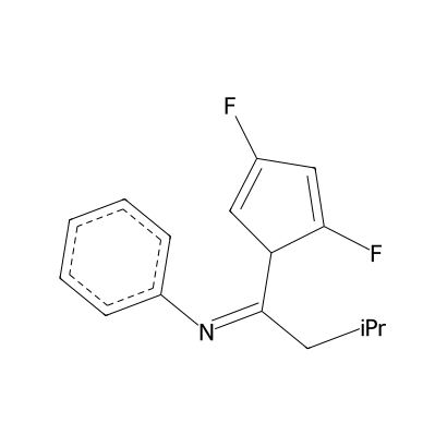 CC(C)C/C(=N/c1ccccc1)C1C=C(F)C=C1F